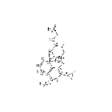 CCOC1CCN(Cc2c(C3CC3)cc(C)c3c2C(F)(F)C=CN3)CC1